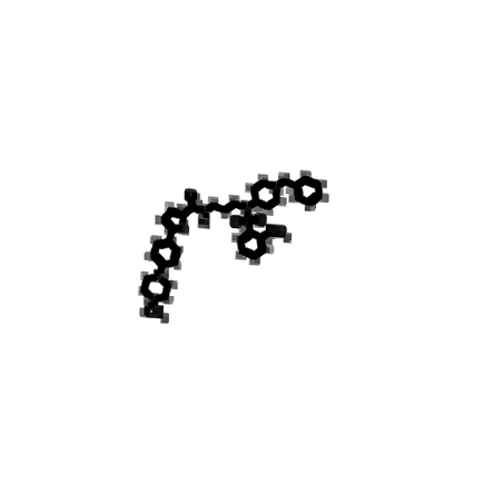 CN1CCN(c2ccc(-c3ccc(C(=O)NCCCN(C4CCN(Cc5ccccc5)CC4)S(=O)(=O)c4ccccc4[N+](=O)[O-])s3)cc2)CC1